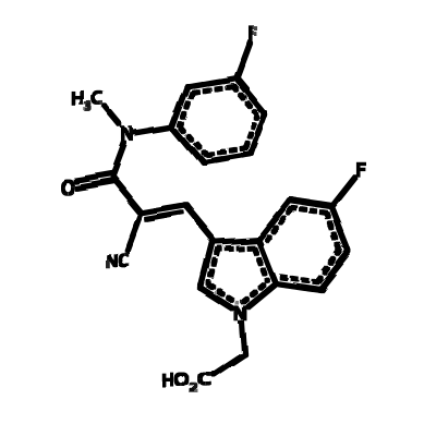 CN(C(=O)/C(C#N)=C/c1cn(CC(=O)O)c2ccc(F)cc12)c1cccc(F)c1